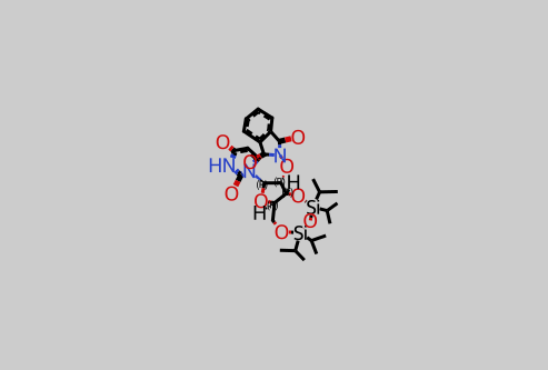 CC(C)[Si]1(C(C)C)OC[C@H]2O[C@@H](n3ccc(=O)[nH]c3=O)[C@H](ON3C(=O)c4ccccc4C3=O)[C@@H]2O[Si](C(C)C)(C(C)C)O1